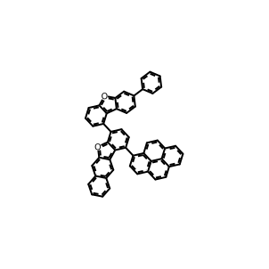 c1ccc(-c2ccc3c(c2)oc2cccc(-c4ccc(-c5ccc6ccc7cccc8ccc5c6c78)c5c4oc4cc6ccccc6cc45)c23)cc1